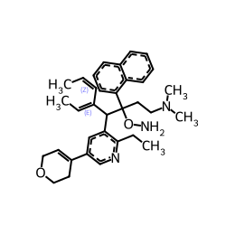 C/C=C\C(=C/C)C(c1cc(C2=CCOCC2)cnc1CC)C(CCN(C)C)(ON)c1cccc2ccccc12